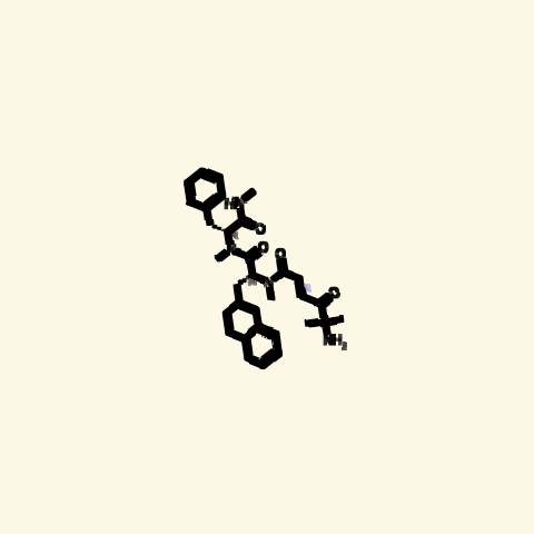 CNC(=O)[C@@H](Cc1ccccc1)N(C)C(=O)[C@@H](Cc1ccc2ccccc2c1)N(C)C(=O)/C=C/C(=O)C(C)(C)N